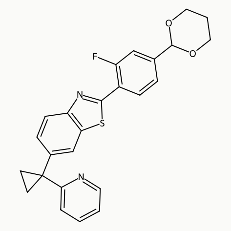 Fc1cc(C2OCCCO2)ccc1-c1nc2ccc(C3(c4ccccn4)CC3)cc2s1